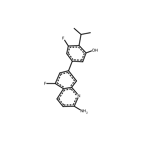 CC(C)c1c(O)cc(-c2cc(F)c3ccc(N)nc3c2)cc1F